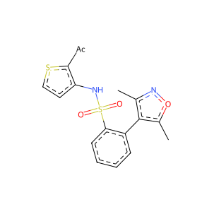 CC(=O)c1sccc1NS(=O)(=O)c1ccccc1-c1c(C)noc1C